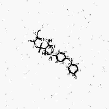 COC(=O)C(C)SC(C)(C)C(NS(=O)(=O)c1ccc(Oc2ccc(F)cc2)cc1)C(=O)O